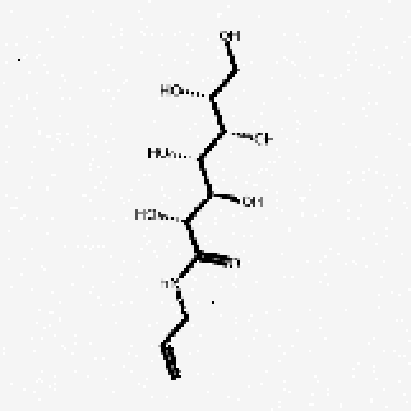 C=CCNC(=O)[C@H](O)[C@H](O)[C@H](O)[C@@H](O)[C@H](O)CO